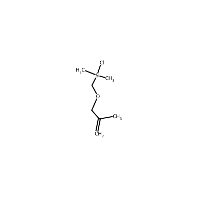 C=C(C)COC[Si](C)(C)Cl